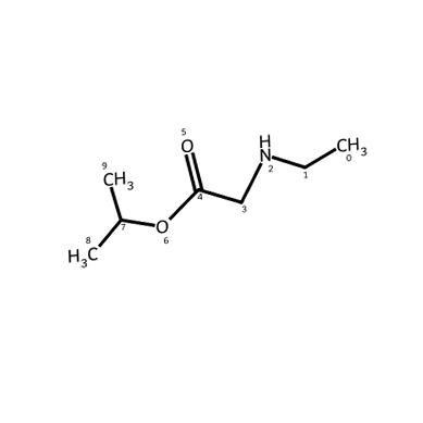 CCNCC(=O)OC(C)C